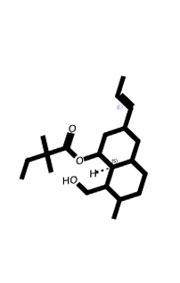 C/C=C/C1CC2CCC(C)C(CO)[C@H]2C(OC(=O)C(C)(C)CC)C1